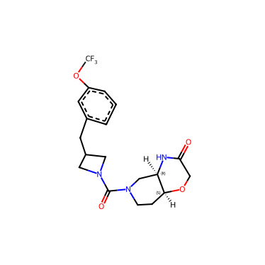 O=C1CO[C@H]2CCN(C(=O)N3CC(Cc4cccc(OC(F)(F)F)c4)C3)C[C@H]2N1